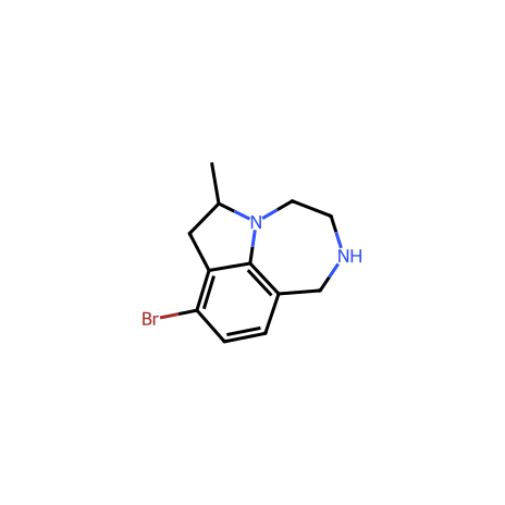 CC1Cc2c(Br)ccc3c2N1CCNC3